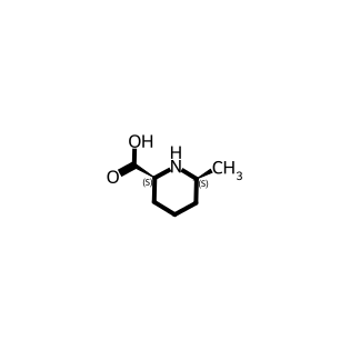 C[C@H]1CCC[C@@H](C(=O)O)N1